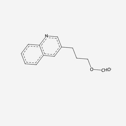 O=[C]OCCCc1cnc2ccccc2c1